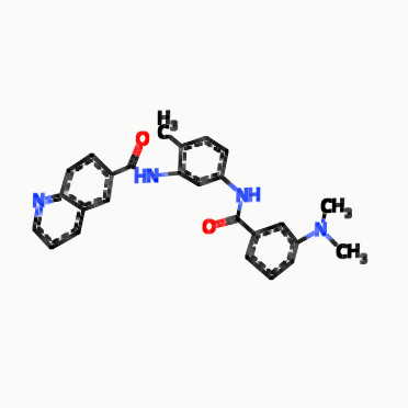 Cc1ccc(NC(=O)c2cccc(N(C)C)c2)cc1NC(=O)c1ccc2ncccc2c1